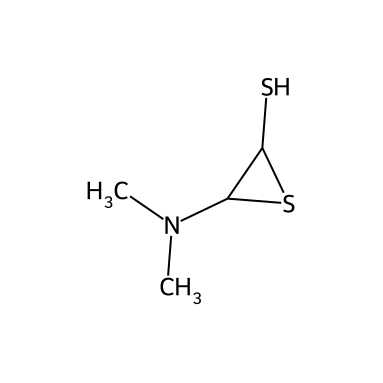 CN(C)C1SC1S